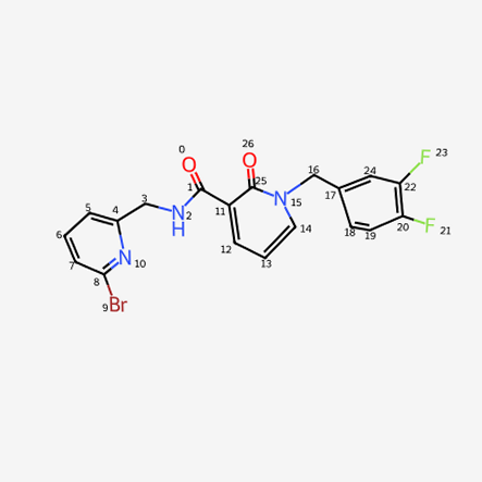 O=C(NCc1cccc(Br)n1)c1cccn(Cc2ccc(F)c(F)c2)c1=O